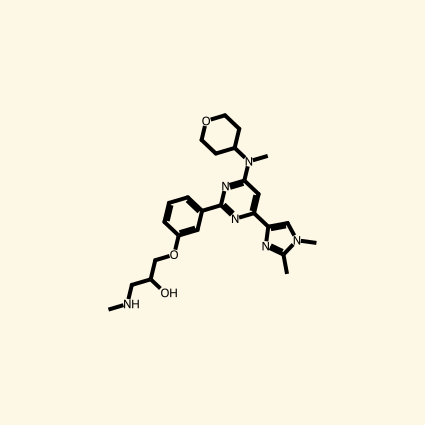 CNCC(O)COc1cccc(-c2nc(-c3cn(C)c(C)n3)cc(N(C)C3CCOCC3)n2)c1